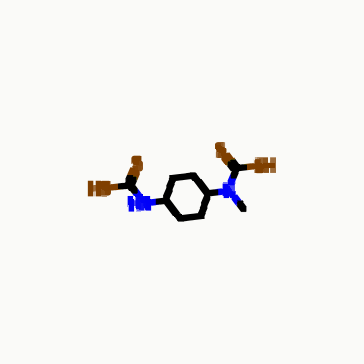 CN(C(=S)S)C1CCC(NC(=S)S)CC1